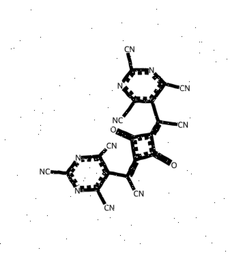 N#CC(c1c(C#N)nc(C#N)nc1C#N)=c1c(=O)c(=C(C#N)c2c(C#N)nc(C#N)nc2C#N)c1=O